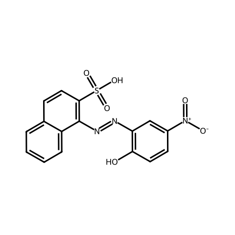 O=[N+]([O-])c1ccc(O)c(N=Nc2c(S(=O)(=O)O)ccc3ccccc23)c1